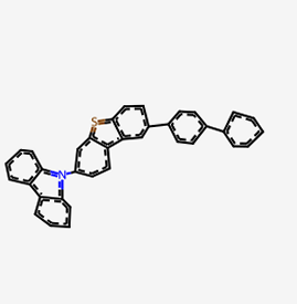 c1ccc(-c2ccc(-c3ccc4sc5cc(-n6c7ccccc7c7ccccc76)ccc5c4c3)cc2)cc1